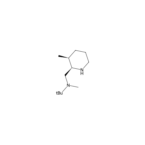 C[C@H]1CCCN[C@H]1CN(C)C(C)(C)C